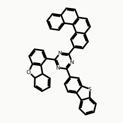 C1=CC2Oc3cccc(-c4nc(-c5ccc6c(c5)sc5ccccc56)nc(-c5ccc6ccc7ccc8ccccc8c7c6c5)n4)c3C2C=C1